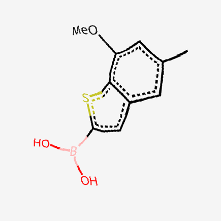 COc1cc(C)cc2cc(B(O)O)sc12